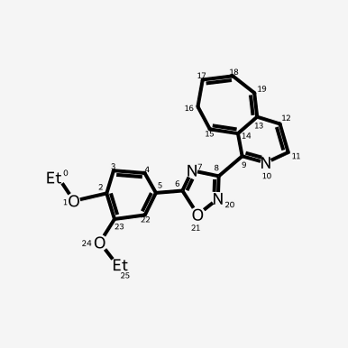 CCOc1ccc(-c2nc(-c3nccc4c3=CCC=CC=4)no2)cc1OCC